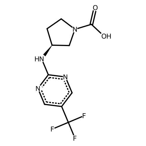 O=C(O)N1CC[C@H](Nc2ncc(C(F)(F)F)cn2)C1